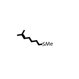 [CH2]SCCCCC=C(C)C